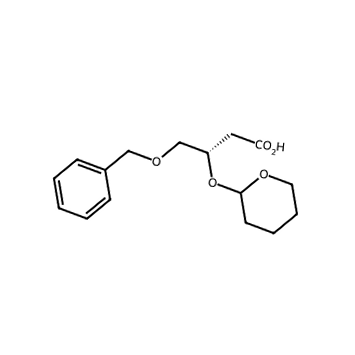 O=C(O)C[C@@H](COCc1ccccc1)OC1CCCCO1